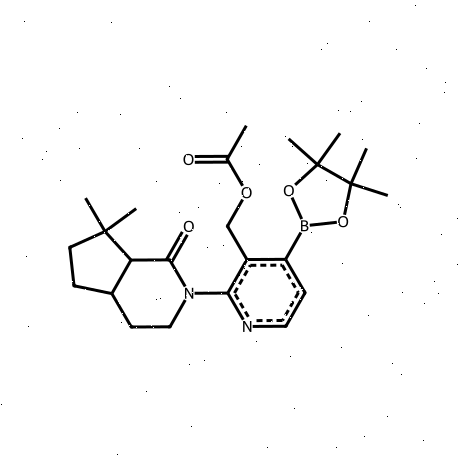 CC(=O)OCc1c(B2OC(C)(C)C(C)(C)O2)ccnc1N1CCC2CCC(C)(C)C2C1=O